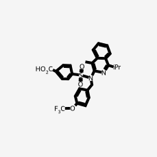 Cc1c(N(Cc2ccc(OC(F)(F)F)cc2)S(=O)(=O)c2ccc(C(=O)O)cc2)nc(C(C)C)c2ccccc12